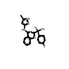 [3H]C(O)(c1ccc(F)cc1)c1nc(Nc2cc(C)[nH]n2)c2ccccc2n1